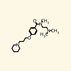 CN(C)CCN(C)C(=O)c1ccc(OCCCN2CCCCC2)cc1